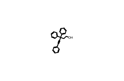 OCCC(C#Cc1ccccc1)(c1ccccc1)c1ccccc1